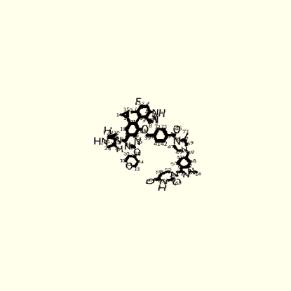 Cc1c(F)cc2[nH]ncc2c1-c1c(C2CC2)cc2c(N3C[C@@H]4C[C@H]3CN4)nc(OC3CCOCC3)nc2c1OCc1ccc(C(=O)N2CCN(Cc3ccc4c(N5CCC(=O)NC5=O)nn(C)c4c3)C[C@@H]2C)cc1